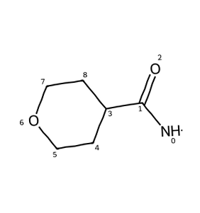 [NH]C(=O)C1CCOCC1